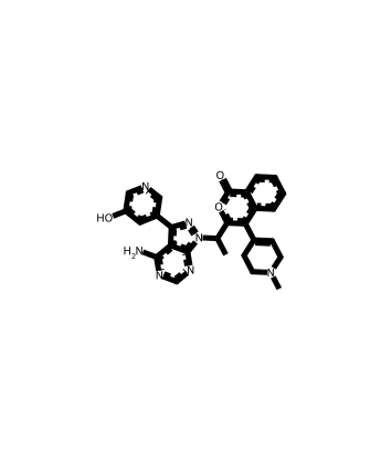 CC(c1oc(=O)c2ccccc2c1C1=CCN(C)CC1)n1nc(-c2cncc(O)c2)c2c(N)ncnc21